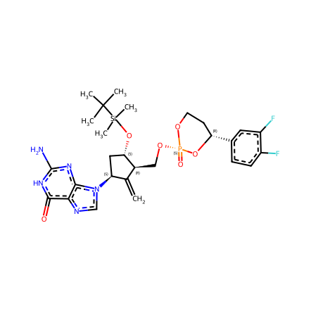 C=C1[C@H](CO[P@]2(=O)OCC[C@H](c3ccc(F)c(F)c3)O2)[C@@H](O[Si](C)(C)C(C)(C)C)C[C@@H]1n1cnc2c(=O)[nH]c(N)nc21